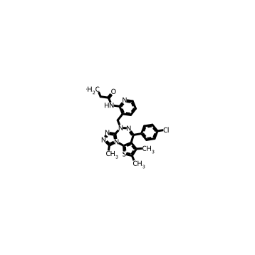 [CH2]CC(=O)Nc1ncccc1CN1N=C(c2ccc(Cl)cc2)c2c(sc(C)c2C)-n2c(C)nnc21